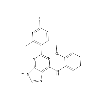 COc1ccccc1Nc1nc(-c2ccc(F)cc2C)nc2c1ncn2C